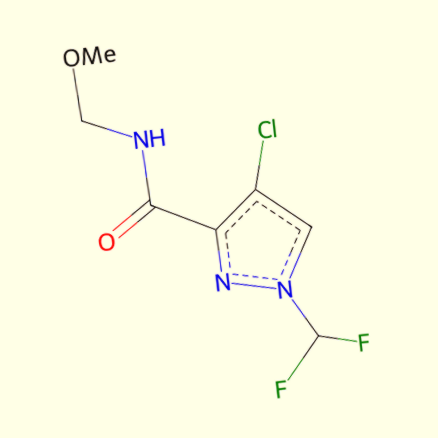 COCNC(=O)c1nn(C(F)F)cc1Cl